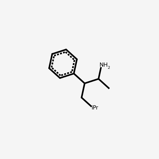 CC(C)CC(c1ccccc1)C(C)N